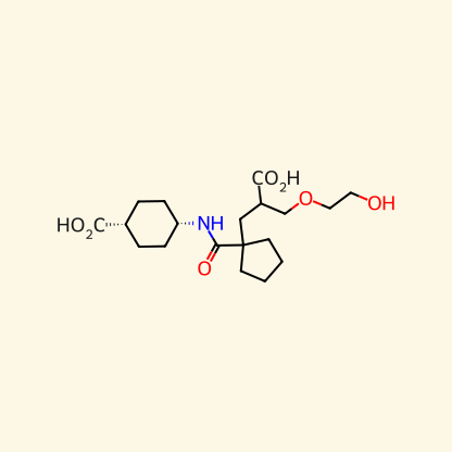 O=C(O)C(COCCO)CC1(C(=O)N[C@H]2CC[C@@H](C(=O)O)CC2)CCCC1